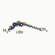 Br.CCCCCCCCCCCCCCOc1ccc(NC(=O)c2cccc(CN3C=C(C)SC3)c2)c(Cl)c1